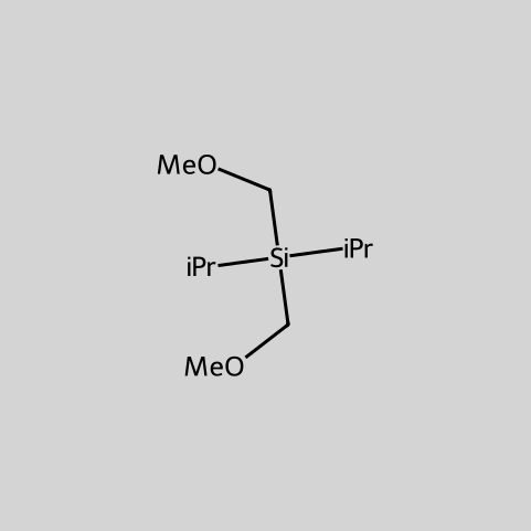 COC[Si](COC)(C(C)C)C(C)C